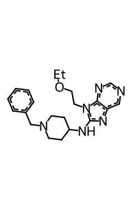 CCOCCn1c(NC2CCN(Cc3ccccc3)CC2)nc2cncnc21